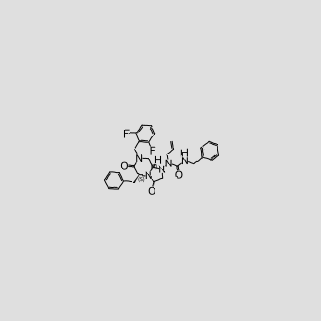 C=CCN(C(=O)NCc1ccccc1)N1CC(=O)N2[C@@H](Cc3ccccc3)C(=O)N(Cc3c(F)cccc3F)C[C@@H]21